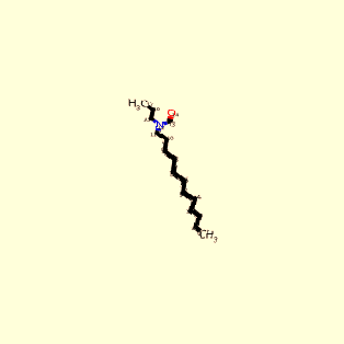 CCCCCCCCCCCCN([C]=O)CCC